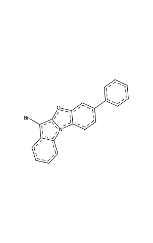 Brc1c2ccccc2n2c1oc1cc(-c3ccccc3)ccc12